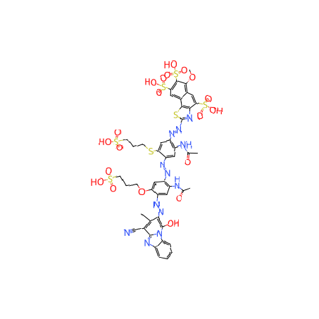 COc1c(S(=O)(=O)O)c(S(=O)(=O)O)cc2c1cc(S(=O)(=O)O)c1nc(N=Nc3cc(SCCCS(=O)(=O)O)c(N=Nc4cc(OCCCS(=O)(=O)O)c(N=Nc5c(C)c(C#N)c6nc7ccccc7n6c5O)cc4NC(C)=O)cc3NC(C)=O)sc12